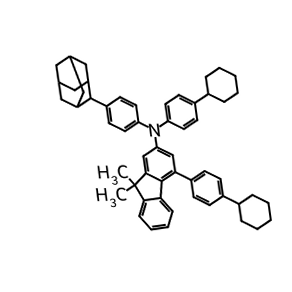 CC1(C)c2ccccc2-c2c(-c3ccc(C4CCCCC4)cc3)cc(N(c3ccc(C4CCCCC4)cc3)c3ccc(C4C5CC6CC(C5)CC4C6)cc3)cc21